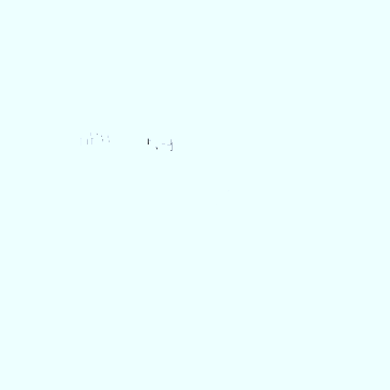 CCCCNCC1=CCCC=C1